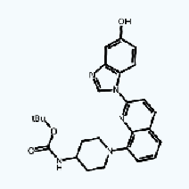 CC(C)(C)OC(=O)NC1CCN(c2cccc3ccc(-n4cnc5cc(O)ccc54)nc23)CC1